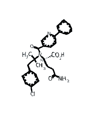 CC(C)(Cc1ccc(Cl)cc1)N(C(=O)c1ccc(-c2ccccc2)nc1)[C@@H](CCC(N)=O)C(=O)O